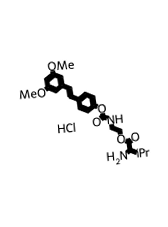 COc1cc(C=Cc2ccc(OC(=O)NCCOC(=O)C(N)C(C)C)cc2)cc(OC)c1.Cl